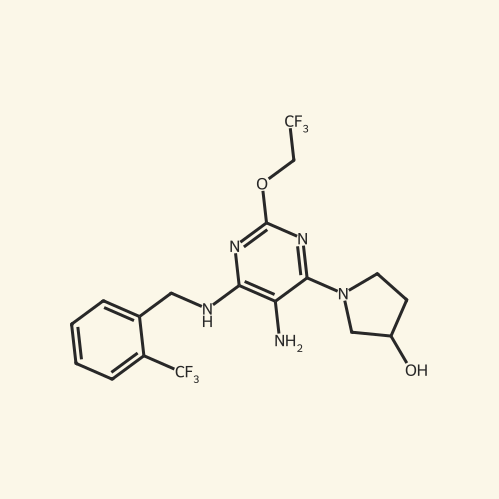 Nc1c(NCc2ccccc2C(F)(F)F)nc(OCC(F)(F)F)nc1N1CCC(O)C1